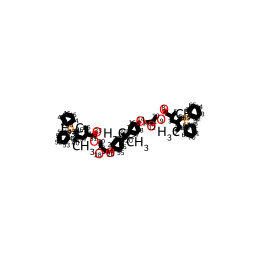 CCC(CC(CC)C(=O)OCC1OC1Oc1ccc(C(C)(C)c2ccc(OC3OC3COC(=O)C(CC)CC(CC)CP(c3ccccc3)c3ccccc3)cc2)cc1)CP(c1ccccc1)c1ccccc1